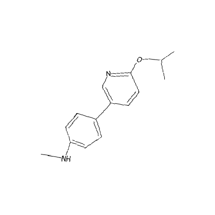 CNc1ccc(-c2ccc(OC(C)C)nc2)cc1